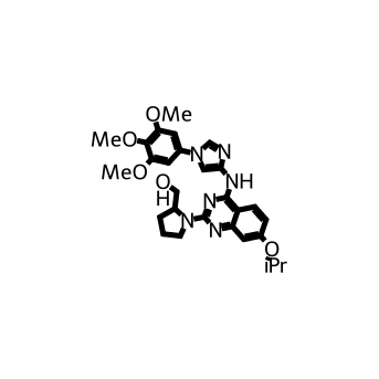 COc1cc(-n2cnc(Nc3nc(N4CCCC4CO)nc4cc(OC(C)C)ccc34)c2)cc(OC)c1OC